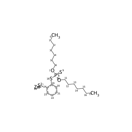 CCCCCCCOP(=S)(OCCCCCCC)Sc1ccccc1.[S-2].[Zn+2]